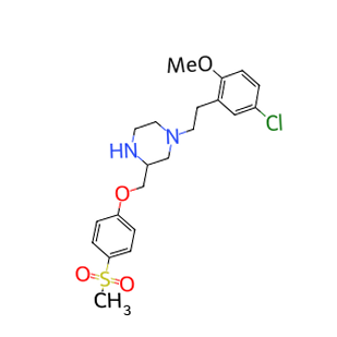 COc1ccc(Cl)cc1CCN1CCNC(COc2ccc(S(C)(=O)=O)cc2)C1